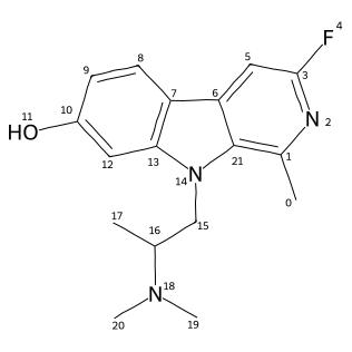 Cc1nc(F)cc2c3ccc(O)cc3n(CC(C)N(C)C)c12